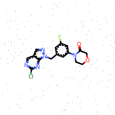 O=C1COCCN1c1cc(F)cc(Cn2ncc3cnc(Cl)nc32)c1